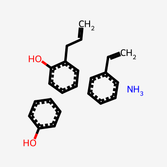 C=CCc1ccccc1O.C=Cc1ccccc1.N.Oc1ccccc1